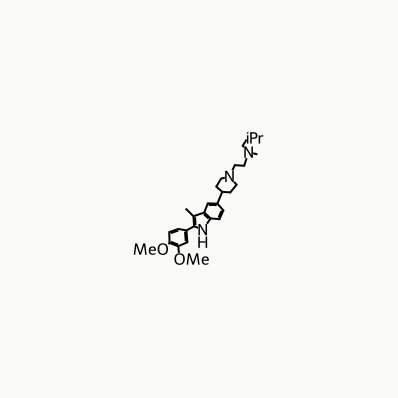 COc1ccc(-c2[nH]c3ccc(C4CCN(CCN(C)CC(C)C)CC4)cc3c2C)cc1OC